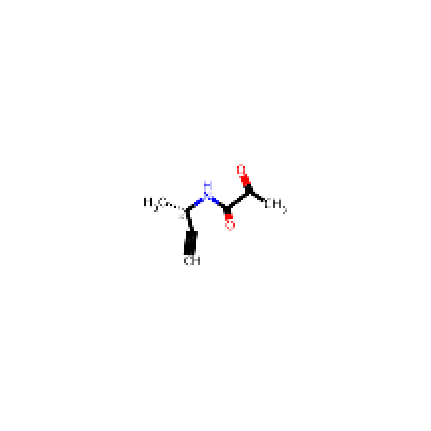 C#C[C@H](C)NC(=O)C(C)=O